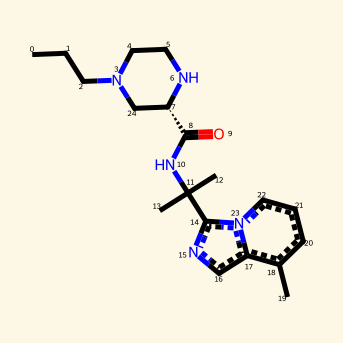 CCCN1CCN[C@H](C(=O)NC(C)(C)c2ncc3c(C)cccn23)C1